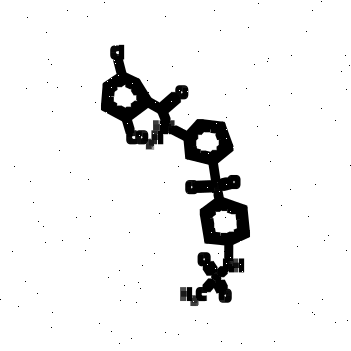 CS(=O)(=O)Nc1ccc(S(=O)(=O)c2cccc(NC(=O)c3cc(Cl)ccc3C(=O)O)c2)cc1